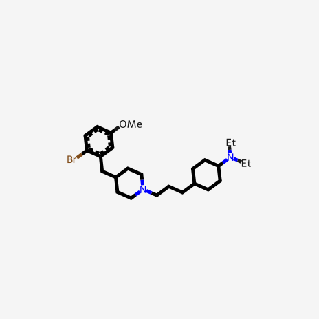 CCN(CC)C1CCC(CCCN2CCC(Cc3cc(OC)ccc3Br)CC2)CC1